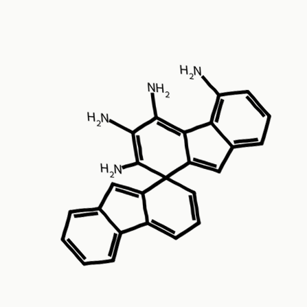 NC1=C2C(=Cc3cccc(N)c32)C2(C=CC=C3C2=Cc2ccccc23)C(N)=C1N